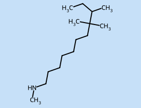 CCC(C)C(C)(C)CCCCCCCNC